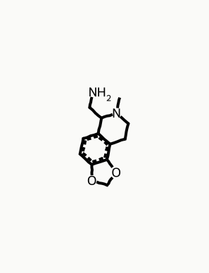 CN1CCc2c(ccc3c2OCO3)C1CN